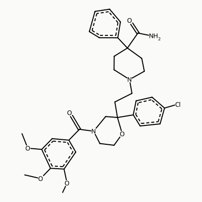 COc1cc(C(=O)N2CCOC(CCN3CCC(C(N)=O)(c4ccccc4)CC3)(c3ccc(Cl)cc3)C2)cc(OC)c1OC